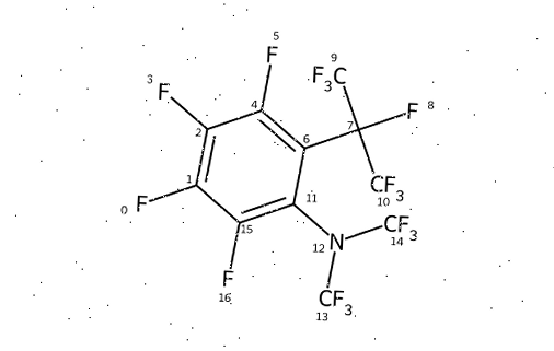 Fc1c(F)c(F)c(C(F)(C(F)(F)F)C(F)(F)F)c(N(C(F)(F)F)C(F)(F)F)c1F